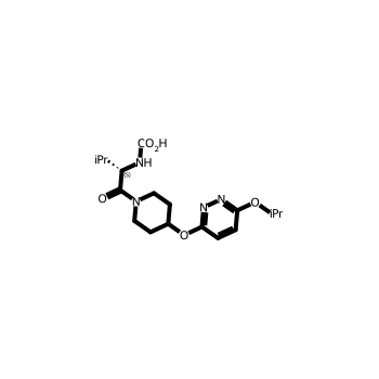 CC(C)Oc1ccc(OC2CCN(C(=O)[C@@H](NC(=O)O)C(C)C)CC2)nn1